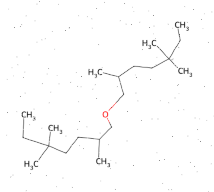 CCC(C)(C)CCC(C)COCC(C)CCC(C)(C)CC